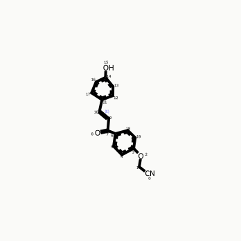 N#CCOc1ccc(C(=O)/C=C/c2ccc(O)cc2)cc1